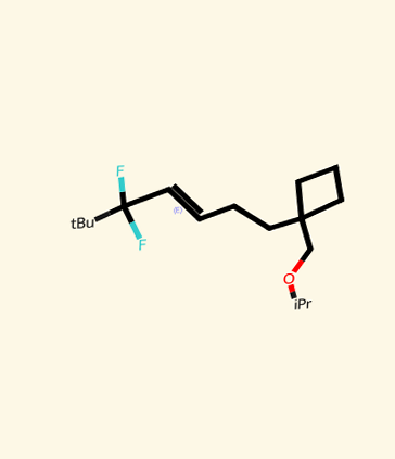 CC(C)OCC1(CC/C=C/C(F)(F)C(C)(C)C)CCC1